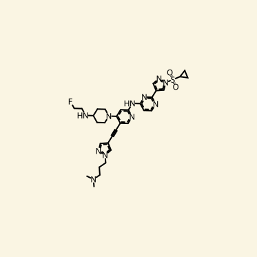 CN(C)CCCn1cc(C#Cc2cnc(Nc3ccnc(-c4cnn(S(=O)(=O)C5CC5)c4)n3)cc2N2CCC(NCCF)CC2)cn1